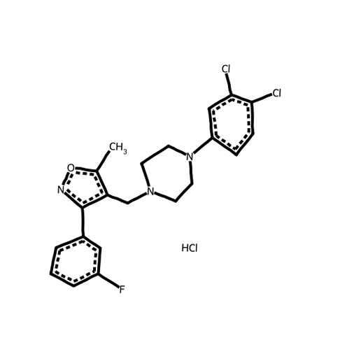 Cc1onc(-c2cccc(F)c2)c1CN1CCN(c2ccc(Cl)c(Cl)c2)CC1.Cl